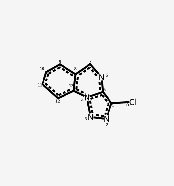 Clc1nnn2c1ncc1ccccc12